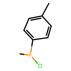 Cc1ccc(P(C)Cl)cc1